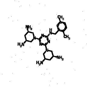 Cc1ccc(C)c(CNc2nc(N3C[C@H](N)C[C@H](N)C3)nc(N3C[C@H](N)C[C@H](N)C3)n2)c1